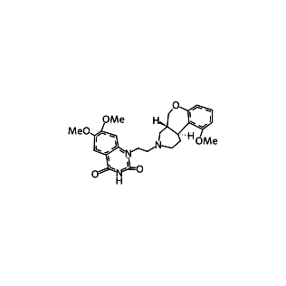 COc1cc2c(=O)[nH]c(=O)n(CCN3CC[C@@H]4c5c(OC)cccc5OC[C@H]4C3)c2cc1OC